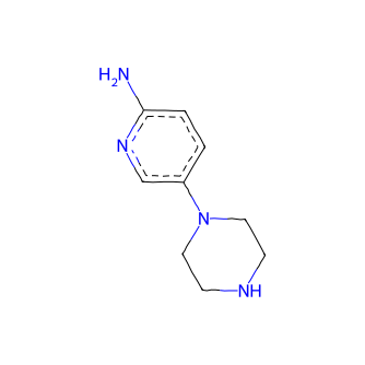 Nc1ccc(N2CCNCC2)cn1